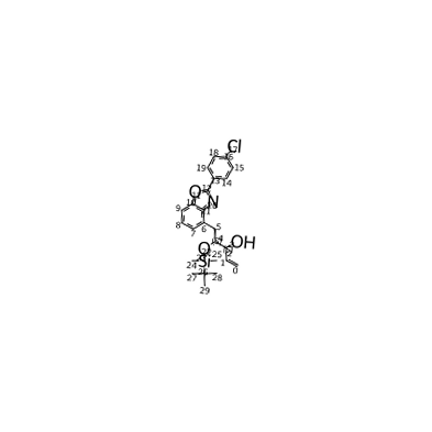 C=C[C@H](O)[C@H](Cc1cccc2oc(-c3ccc(Cl)cc3)nc12)O[Si](C)(C)C(C)(C)C